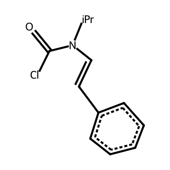 CC(C)N(C=Cc1ccccc1)C(=O)Cl